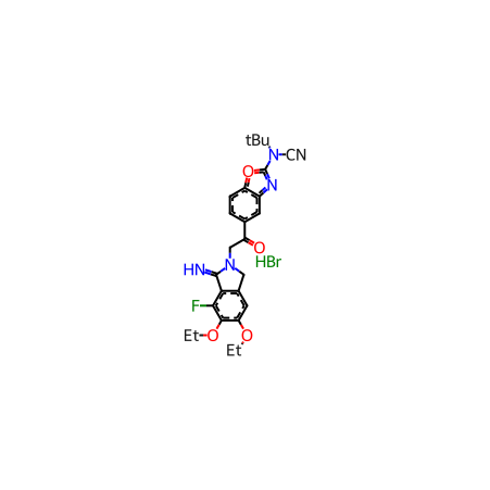 Br.CCOc1cc2c(c(F)c1OCC)C(=N)N(CC(=O)c1ccc3oc(N(C#N)C(C)(C)C)nc3c1)C2